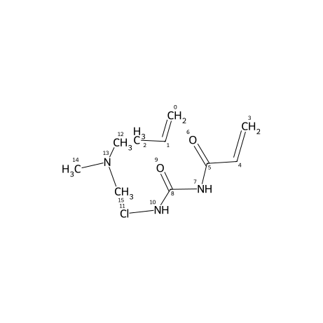 C=CC.C=CC(=O)NC(=O)NCl.CN(C)C